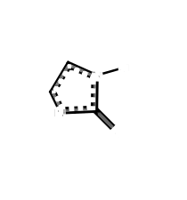 Cn1c[c][nH]c1=O